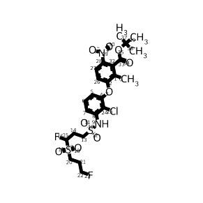 Cc1c(Oc2cccc(NS(=O)(=O)CCC(F)S(=O)(=O)CCCF)c2Cl)ccc([N+](=O)[O-])c1C(=O)OC(C)(C)C